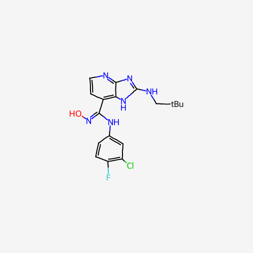 CC(C)(C)CNc1nc2nccc(/C(=N\O)Nc3ccc(F)c(Cl)c3)c2[nH]1